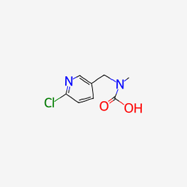 CN(Cc1ccc(Cl)nc1)C(=O)O